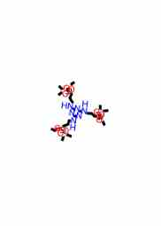 CCO[Si](CCCNc1nc(NCCC[Si](OCC)(OCC)OCC)nc(NCCC[Si](OCC)(OCC)OCC)n1)(OCC)OCC